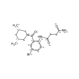 C[C@@H]1C[C@H](C)CN(C(=O)c2cc(Br)ccc2NC(=O)CCC(N)=O)C1